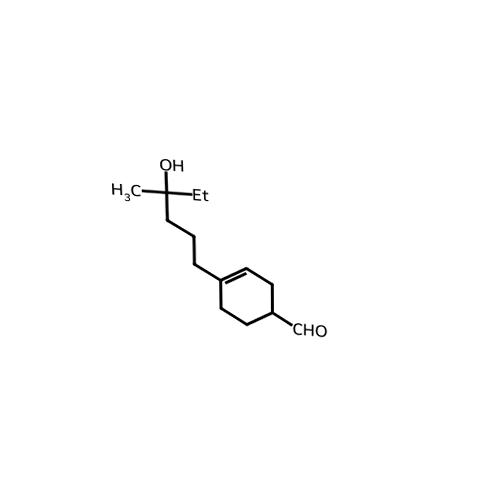 CCC(C)(O)CCCC1=CCC(C=O)CC1